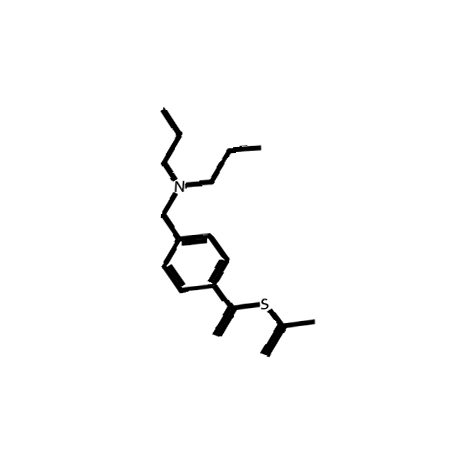 C=C(C)SC(=C)c1ccc(CN(CCC)CCC)cc1